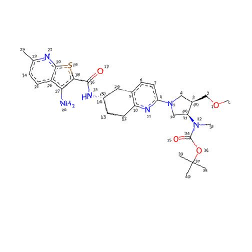 COC[C@@H]1CN(c2ccc3c(n2)CC[C@H](NC(=O)c2sc4nc(C)ccc4c2N)C3)C[C@@H]1N(C)C(=O)OC(C)(C)C